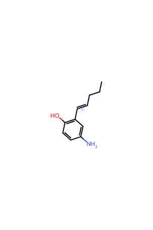 CCC/C=C/c1cc(N)ccc1O